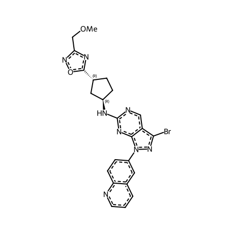 COCc1noc([C@@H]2CC[C@@H](Nc3ncc4c(Br)nn(-c5ccc6ncccc6c5)c4n3)C2)n1